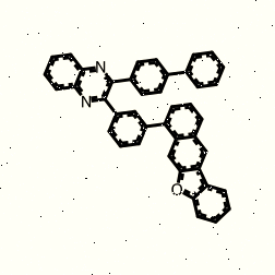 c1ccc(-c2ccc(-c3nc4ccccc4nc3-c3cccc(-c4cccc5cc6c(cc45)oc4ccccc46)c3)cc2)cc1